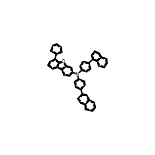 c1ccc(-c2cccc3c2oc2cc(N(c4ccc(-c5ccc6ccccc6c5)cc4)c4ccc(-c5cccc6ccccc56)cc4)ccc23)cc1